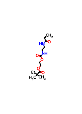 C=CC(=O)NCCNC(=O)OCCOC(=O)C(C)(C)CC